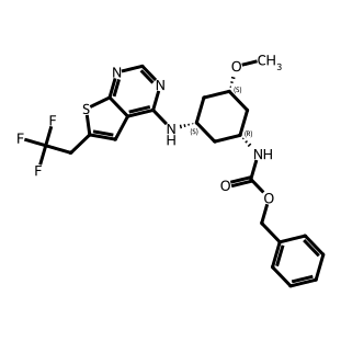 CO[C@@H]1C[C@H](NC(=O)OCc2ccccc2)C[C@H](Nc2ncnc3sc(CC(F)(F)F)cc23)C1